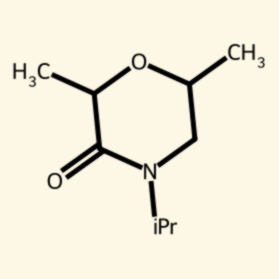 CC1CN(C(C)C)C(=O)C(C)O1